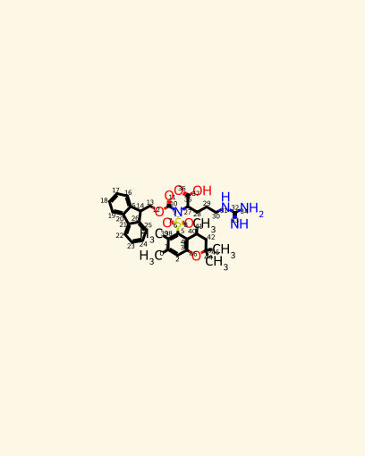 Cc1cc2c(c(S(=O)(=O)N(C(=O)OCC3c4ccccc4-c4ccccc43)C(CCCNC(=N)N)C(=O)O)c1C)C(C)CC(C)(C)O2